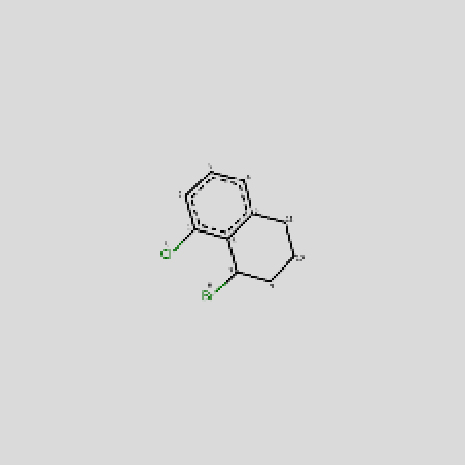 Clc1cccc2c1C(Br)CCC2